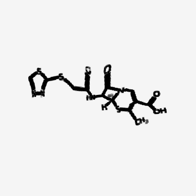 CC1S[C@@H]2C(NC(=O)CSc3nncs3)C(=O)N2C=C1C(=O)O